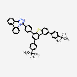 CC(C)(C)c1ccc(-c2ccc3sc4c(-c5ccc(-c6nnc7c8ccccc8c8ccccc8n67)cc5)cc(-c5ccc(C(C)(C)C)cc5)cc4c3c2)cc1